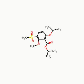 COc1c(S(C)(=O)=O)ccc(OC(C)C)c1C(=O)OC(C)C